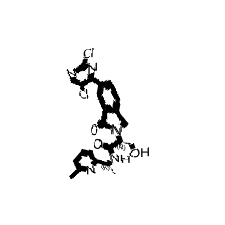 Cc1cccc([C@@H](C)NC(=O)[C@@H](CO)N2Cc3ccc(-c4nc(Cl)ncc4Cl)cc3C2=O)n1